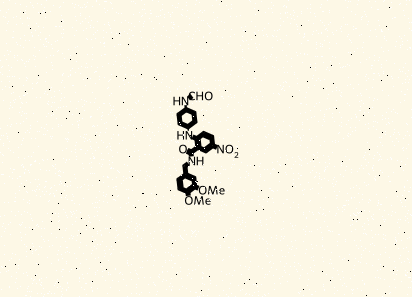 COc1ccc(CNC(=O)c2cc([N+](=O)[O-])ccc2N[C@H]2CC[C@H](NC=O)CC2)cc1OC